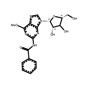 COc1nc(NC(=O)c2ccccc2)nc2c1ncn2[C@@H]1O[C@H](CO)C(O)[C@@H]1O